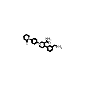 NCc1cccc(C2=C(C(N)=O)CN(c3ccc(N4CCCCC4=O)cc3)CC2)c1